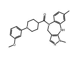 COc1cccc(N2CCC(C(=O)N3Cc4cnn(C)c4Nc4cc(C)ccc43)CC2)c1